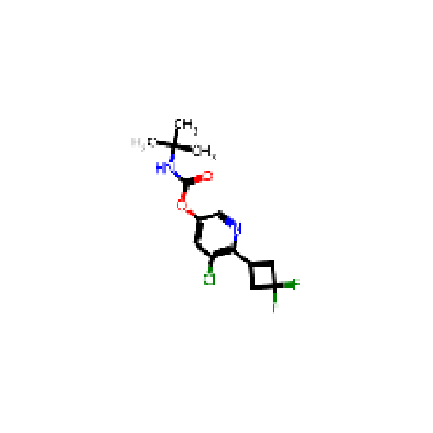 CC(C)(C)NC(=O)Oc1cnc(C2CC(F)(F)C2)c(Cl)c1